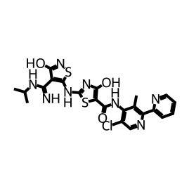 Cc1c(-c2ccccn2)ncc(Cl)c1NC(=O)c1sc(Nc2snc(O)c2C(=N)NC(C)C)nc1O